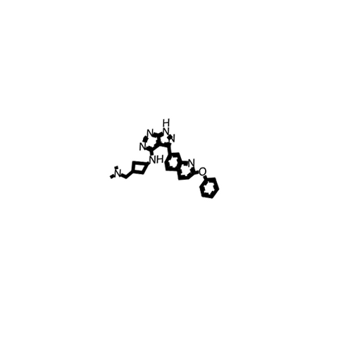 CN(C)CC1CC(Nc2ncnc3[nH]nc(-c4ccc5ccc(Oc6ccccc6)nc5c4)c23)C1